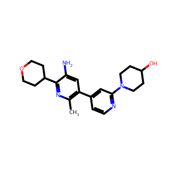 Cc1nc(C2CCOCC2)c(N)cc1-c1ccnc(N2CCC(O)CC2)c1